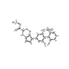 C=CC(=O)N1CCn2c(nnc2-c2cc(F)c(-c3c(F)cccc3OC)c(Cl)c2)C1